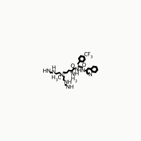 C[N+](CCC[C@H](N)C(=O)N[C@@H](Cc1ccc(C(F)(F)F)cc1)C(=O)Nc1cnc2ccccc2c1)(CCNC=N)CCNC=N